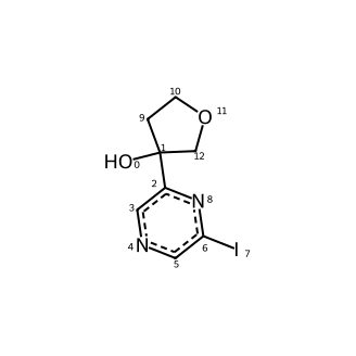 OC1(c2cncc(I)n2)CCOC1